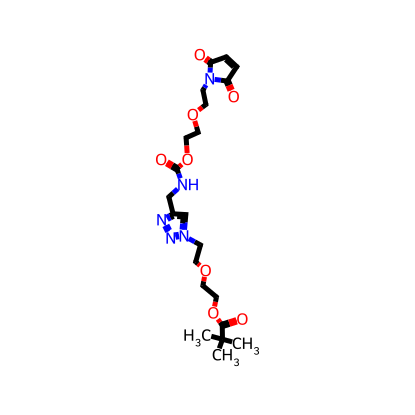 CC(C)(C)C(=O)OCCOCCn1cc(CNC(=O)OCCOCCN2C(=O)C=CC2=O)nn1